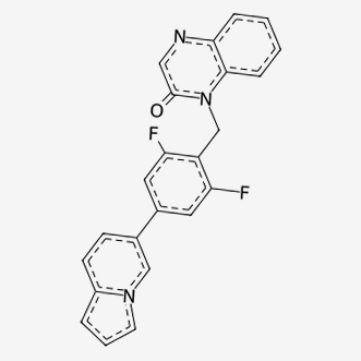 O=c1cnc2ccccc2n1Cc1c(F)cc(-c2ccc3cccn3c2)cc1F